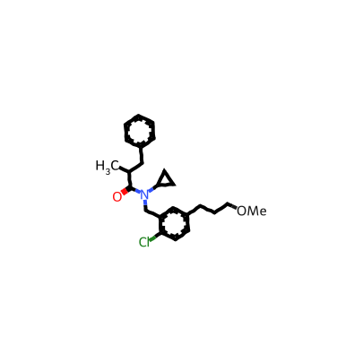 COCCCc1ccc(Cl)c(CN(C(=O)C(C)Cc2ccccc2)C2CC2)c1